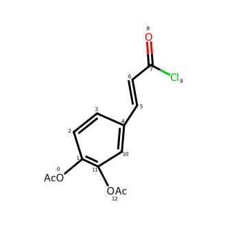 CC(=O)Oc1ccc(/C=C/C(=O)Cl)cc1OC(C)=O